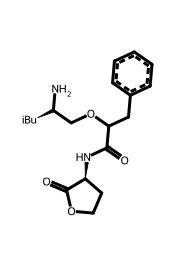 CC[C@H](C)C(N)COC(Cc1ccccc1)C(=O)N[C@H]1CCOC1=O